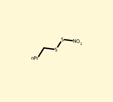 CCCCSS[N+](=O)[O-]